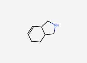 C1=CC2CNCC2CC1